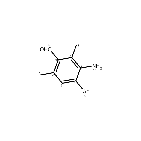 CC(=O)c1cc(C)c(C=O)c(C)c1N